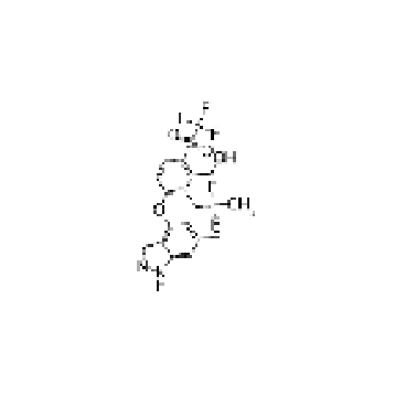 CC(F)(F)Cc1c(Oc2cc(F)cc3[nH]ncc23)ccc(S(=O)(=O)C(F)(F)F)c1CO